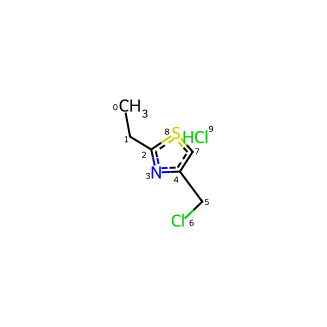 CCc1nc(CCl)cs1.Cl